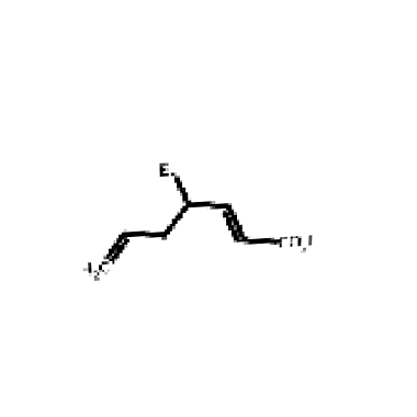 C=CCC(C=CC(=O)O)CC